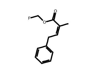 CC(=CCc1ccccc1)C(=O)OCF